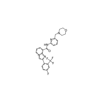 O=C(Nc1cccc(CN2CCOCC2)n1)c1cccn2cc(-c3ccc(F)cc3C(F)(F)F)nc12